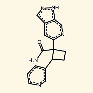 NC(=O)C1(c2cc3cn[nH]c3cn2)CCC1c1cccnc1